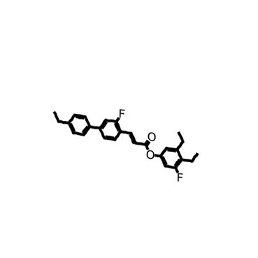 CCc1ccc(-c2ccc(/C=C/C(=O)Oc3cc(F)c(CC)c(CC)c3)c(F)c2)cc1